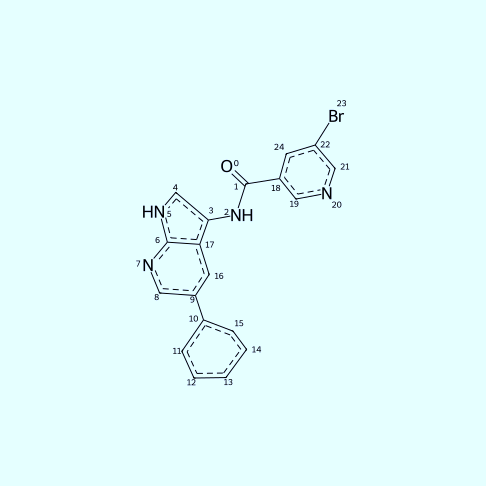 O=C(Nc1c[nH]c2ncc(-c3ccccc3)cc12)c1cncc(Br)c1